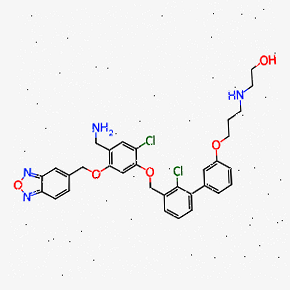 NCc1cc(Cl)c(OCc2cccc(-c3cccc(OCCCNCCO)c3)c2Cl)cc1OCc1ccc2nonc2c1